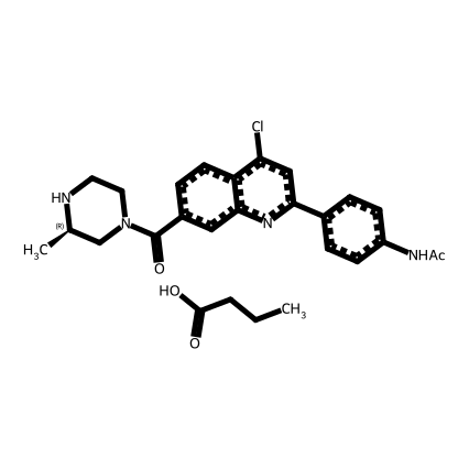 CC(=O)Nc1ccc(-c2cc(Cl)c3ccc(C(=O)N4CCN[C@H](C)C4)cc3n2)cc1.CCCC(=O)O